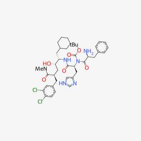 CNC(=O)[C@H](Cc1ccc(Cl)c(Cl)c1)C[C@H](O)[C@H](CC1CCCCC1)NC(=O)[C@H](Cc1c[nH]cn1)N(C(=O)OC(C)(C)C)C(=O)[C@@H](N)Cc1ccccc1